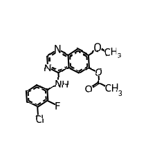 COc1cc2ncnc(Nc3cccc(Cl)c3F)c2cc1OC(C)=O